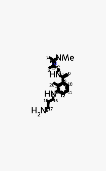 C=C(NS/C(C)=C(/C)NC)c1cccc(NCCCN)c1C